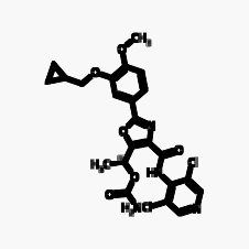 COc1ccc(-c2nc(C(=O)Nc3c(Cl)cncc3Cl)c([C@H](C)OC(N)=O)o2)cc1OCC1CC1